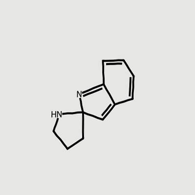 C1=c2ccccc2=NC12CCCN2